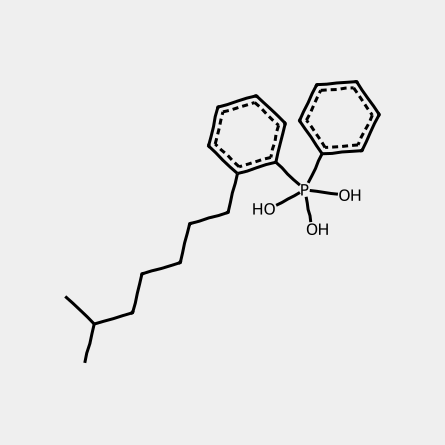 CC(C)CCCCCc1ccccc1P(O)(O)(O)c1ccccc1